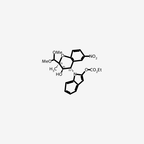 CCOC(=O)Oc1cc2ccccc2n1[C@H]1c2cc([N+](=O)[O-])ccc2O[C@](C)(C(OC)OC)[C@@H]1O